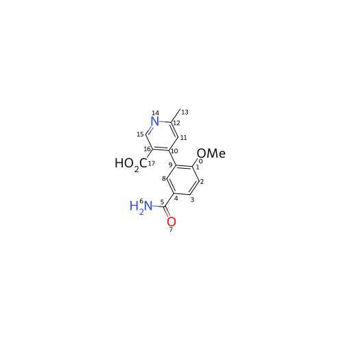 COc1ccc(C(N)=O)cc1-c1cc(C)ncc1C(=O)O